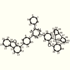 c1ccc(-c2nc(-c3ccc(-c4cccc5c4oc4ccccc45)cc3)nc(-c3ccc4c(c3)Oc3ccccc3C43c4ccccc4-c4ccccc43)n2)cc1